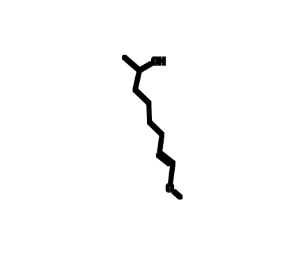 COC=CCCCCC(C)O